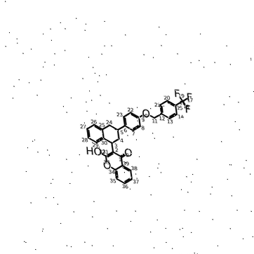 O=c1c(C2CC(c3ccc(OCc4ccc(C(F)(F)F)cc4)cc3)Cc3ccccc32)c(O)oc2ccccc12